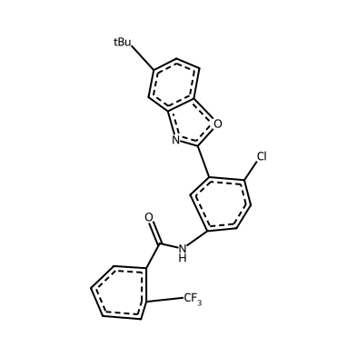 CC(C)(C)c1ccc2oc(-c3cc(NC(=O)c4ccccc4C(F)(F)F)ccc3Cl)nc2c1